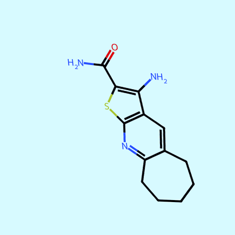 NC(=O)c1sc2nc3c(cc2c1N)CCCCC3